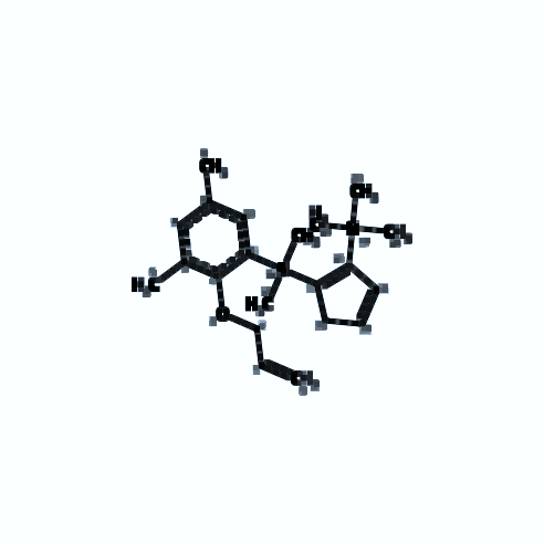 C=CCOc1c(C)cc(C)cc1[Si](C)(C)C1=C([Si](C)(C)C)C=CC1